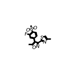 Cc1csc(-c2noc(C)c2-c2ccc(S(C)(=O)=O)c(F)c2)n1